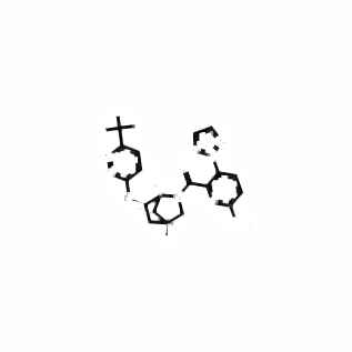 Cc1ccc(-n2nccn2)c(C(=O)N2C[C@@H]3C[C@@H](Nc4ccc(C(F)(F)F)nn4)[C@@H]2C3)n1